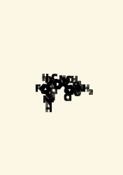 CC1c2nn(C)c(-c3cc(Cl)cc(S(N)(=O)=O)c3)c2CCN1C(=O)c1cc(F)cc(-c2nc[nH]n2)c1Cl